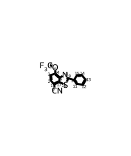 N#Cc1ccc(OC(F)(F)F)c2nc(-c3ccccc3)sc12